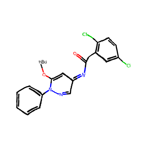 CCCCOc1c/c(=N\C(=O)c2cc(Cl)ccc2Cl)cnn1-c1ccccc1